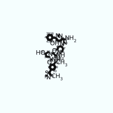 Cc1ncsc1-c1ccc([C@H](C)NC(=O)[C@@H]2C[C@@H](O)CN2C(=O)[C@@H](NN2CCC(n3nc(N)c4nnc(-c5ccccc5O)cc43)CC2)C(C)(C)C)cc1